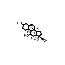 C#CC1(O)CC[C@H]2[C@@H]3CC=C4CC(O)CC[C@]4(C)[C@@H]3C(O)C[C@@]21C